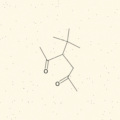 CC(=O)CC(C(C)=O)C(C)(C)C